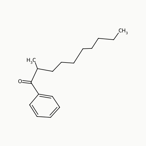 CCCCCCCCC(C)C(=O)c1ccccc1